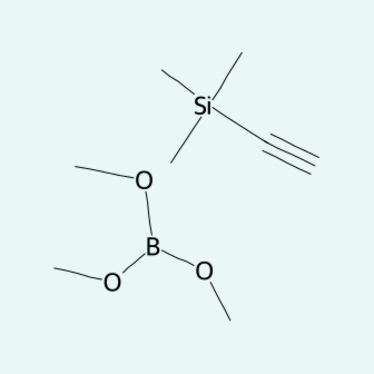 C#C[Si](C)(C)C.COB(OC)OC